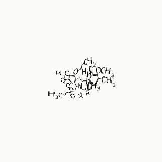 C=CCOc1c(C)c2c(c3c1CC1[C@H]4c5c(cc(C)c(OC)c5C)C[C@@H]([C@H](C#N)N1[C@H]3COC(=O)CCC)N4C)OCO2